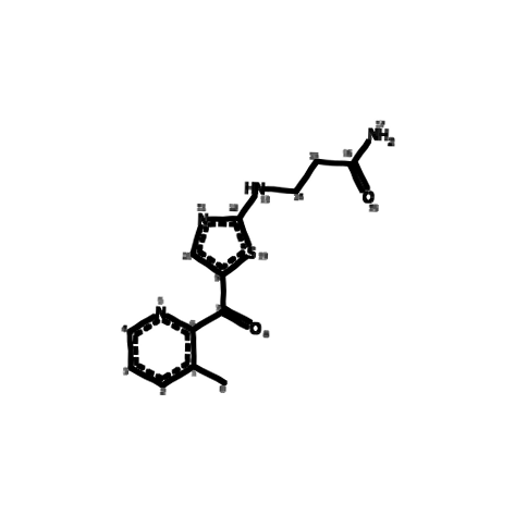 Cc1cccnc1C(=O)c1cnc(NCCC(N)=O)s1